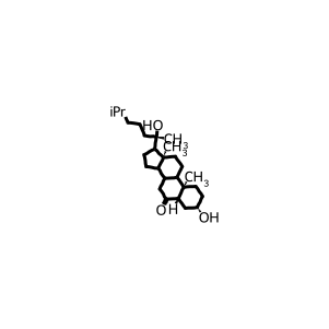 CC(C)CCC[C@](C)(O)C1CCC2C3CC(=O)[C@H]4C[C@@H](O)CC[C@]4(C)C3CC[C@@]21C